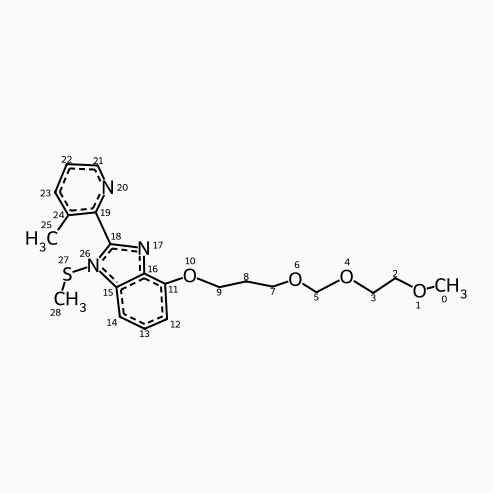 COCCOCOCCCOc1cccc2c1nc(-c1ncccc1C)n2SC